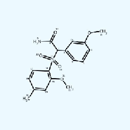 COc1cccc(C(C(N)=O)S(=O)(=O)c2ccc(C)cc2OC)c1